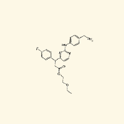 CCOCCOC(=O)CC(c1ccc(F)cc1)c1ccnc(Nc2ccc(CN)cc2)n1